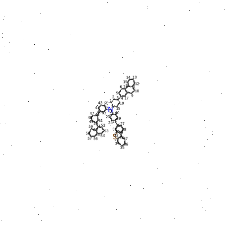 CC1C=C(c2ccc3c(ccc4ccccc43)c2)C=CC1N(c1ccc(-c2ccc3c(c2)sc2ccccc23)cc1)c1cccc(-c2cccc(-c3cccc4ccccc34)c2)c1